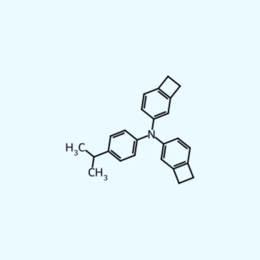 CC(C)c1ccc(N(c2ccc3c(c2)CC3)c2ccc3c(c2)CC3)cc1